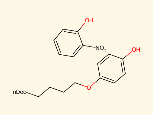 CCCCCCCCCCCCCCOc1ccc(O)cc1.O=[N+]([O-])c1ccccc1O